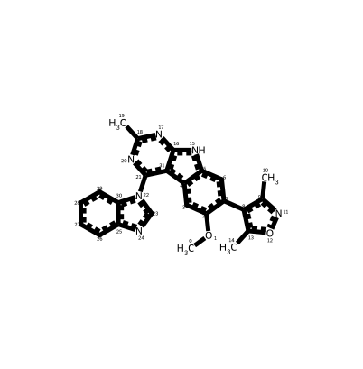 COc1cc2c(cc1-c1c(C)noc1C)[nH]c1nc(C)nc(-n3cnc4ccccc43)c12